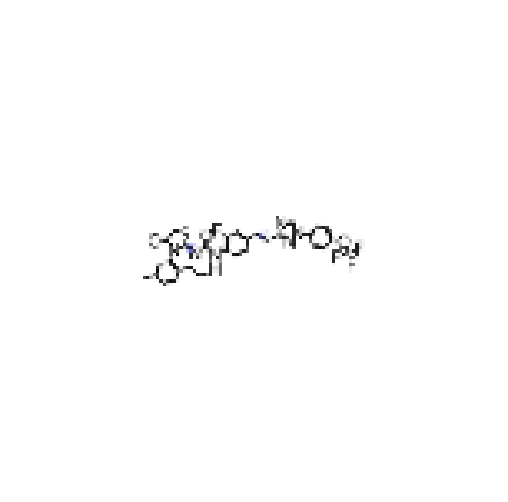 CCCc1ccc(C)cc1N1C(=O)CS/C1=N\C(=O)Nc1ccc(/C=C/c2ncn(-c3ccc(OC(F)(F)F)cc3)n2)cc1F